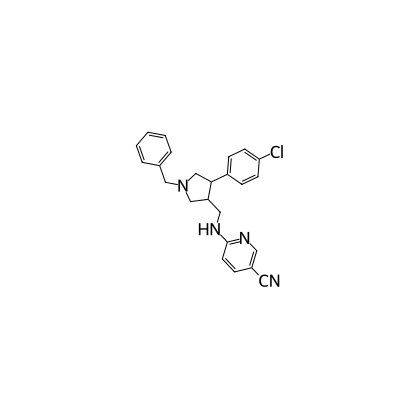 N#Cc1ccc(NCC2CN(Cc3ccccc3)CC2c2ccc(Cl)cc2)nc1